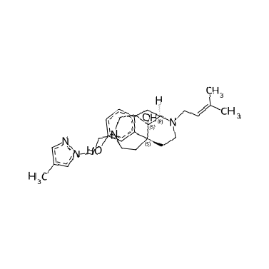 CC(C)=CCN1CC[C@]23CCN(CCn4cc(C)cn4)CC[C@@]2(O)[C@H]1Cc1ccc(O)cc13